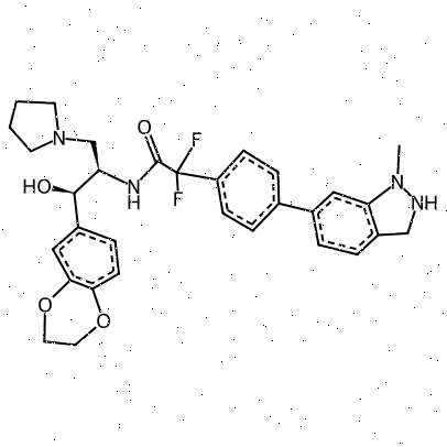 CN1NCc2ccc(-c3ccc(C(F)(F)C(=O)N[C@H](CN4CCCC4)[C@H](O)c4ccc5c(c4)OCCO5)cc3)cc21